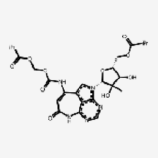 CC(C)C(=O)OCOC(=O)NC1=CC(=O)Nc2ncnc3c2c1cn3[C@@H]1O[C@H](COC(=O)C(C)C)[C@@H](O)C1(C)O